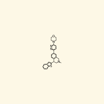 CN1Cc2cc(-c3ccc(N4CCOCC4)nn3)ccc2C(c2cc3ccccc3s2)C1